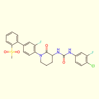 CS(=O)(=O)c1ccccc1-c1ccc(N2CCCC(NC(=O)Nc3ccc(Cl)c(F)c3)C2=O)c(F)c1